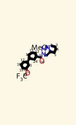 CO[n+]1ccccc1CNC(=O)c1cccc(-c2cccc(OC(F)(F)F)c2)c1